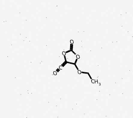 CCOC1OC(=O)OC1=C=O